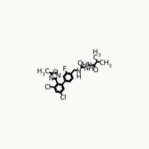 Cc1nc(-c2c(Cl)cc(Cl)cc2-c2ccc(CNC(=O)NNC(=O)C(C)C)c(F)c2)no1